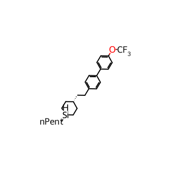 CCCCC[Si@H]1CC[C@H](CCc2ccc(-c3ccc(OC(F)(F)F)cc3)cc2)CC1